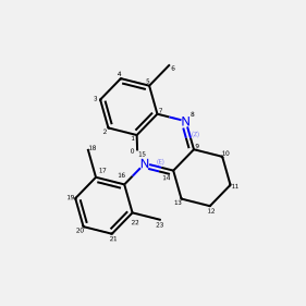 Cc1cccc(C)c1/N=C1/CCCC/C1=N\c1c(C)cccc1C